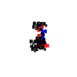 CC(C)(C)OC(=O)NCCN(CC(CO)NC(=O)OC(C)(C)C)C(=O)OC(C)(C)C